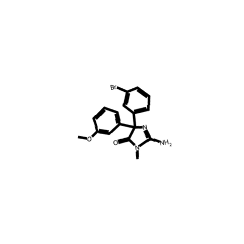 COc1cccc(C2(c3cccc(Br)c3)N=C(N)N(C)C2=O)c1